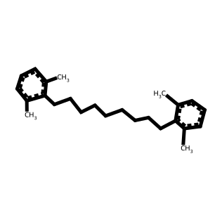 Cc1cccc(C)c1CCCCCCCCCc1c(C)cccc1C